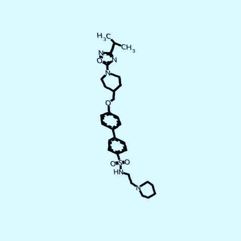 CC(C)c1noc(N2CCC(COc3ccc(-c4ccc(S(=O)(=O)NCCN5CCCCC5)cc4)cc3)CC2)n1